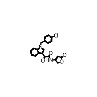 O=C1C=C(NC(=O)C(=O)c2cn(Cc3ccc(Cl)cc3)c3ccccc23)CO1